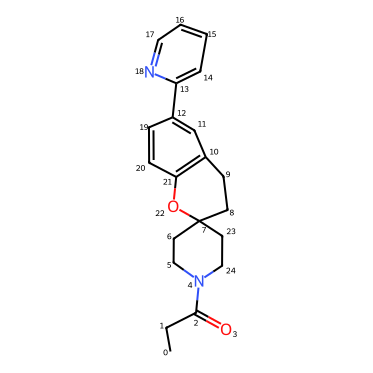 CCC(=O)N1CCC2(CCc3cc(-c4ccccn4)ccc3O2)CC1